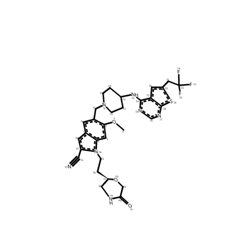 COc1cc2c(cc1CN1CCC(Nc3ncnc4sc(CC(F)(F)F)cc34)CC1)cc(C#N)n2CC[C@@H]1CNC(=O)CO1